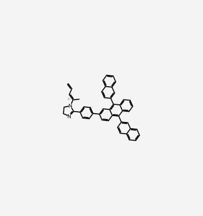 C=C/C=C(\C)N1CCN=C1c1ccc(-c2ccc3c(-c4ccc5ccccc5c4)c4ccccc4c(-c4ccc5ccccc5c4)c3c2)cc1